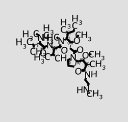 CC[C@H](C)[C@@H]([C@@H](CC(=O)N1CCC[C@H]1[C@H](OC)[C@@H](C)C(=O)NCCNC)OC)N(C)C(=O)[C@@H](NC(=O)[C@H](C(C)C)N(C)C)C(C)C